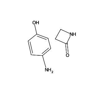 Nc1ccc(O)cc1.O=C1CCN1